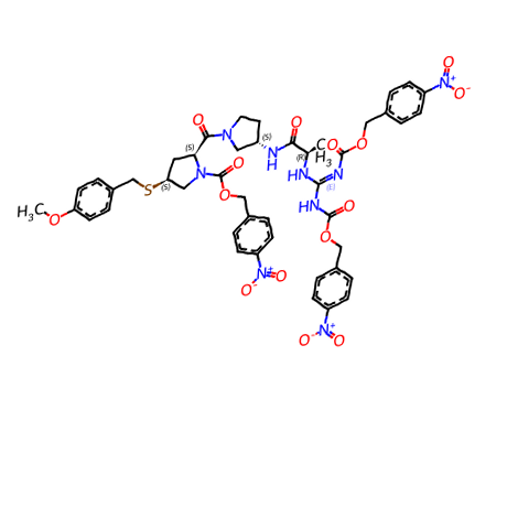 COc1ccc(CS[C@H]2C[C@@H](C(=O)N3CC[C@H](NC(=O)[C@@H](C)N/C(=N\C(=O)OCc4ccc([N+](=O)[O-])cc4)NC(=O)OCc4ccc([N+](=O)[O-])cc4)C3)N(C(=O)OCc3ccc([N+](=O)[O-])cc3)C2)cc1